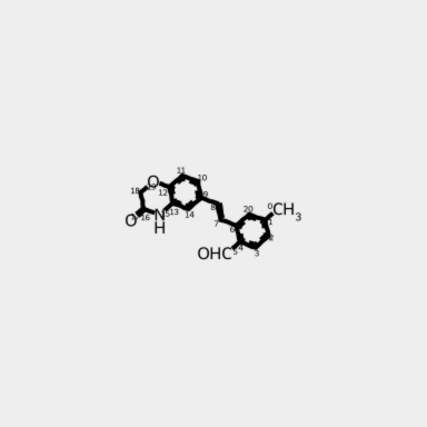 Cc1ccc(C=O)c(C=Cc2ccc3c(c2)NC(=O)CO3)c1